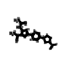 CN(C)C1CCN(c2cnc(-c3cc(C(N)=O)c(NC(N)=O)s3)nc2)C1